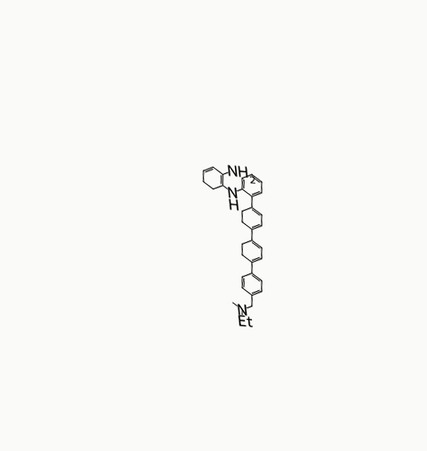 CCN(C)Cc1ccc(C2=CC=C(C3=CC=C(c4ccccc4NC4=C(N)C=CCC4)CC3)CC2)cc1